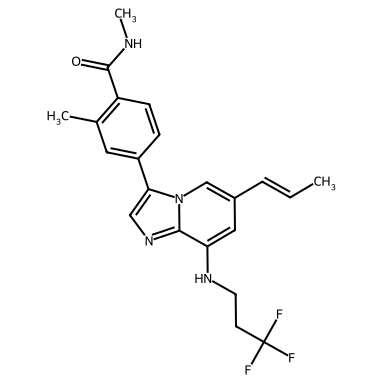 CC=Cc1cc(NCCC(F)(F)F)c2ncc(-c3ccc(C(=O)NC)c(C)c3)n2c1